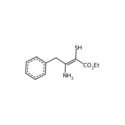 CCOC(=O)C(S)=C(N)Cc1ccccc1